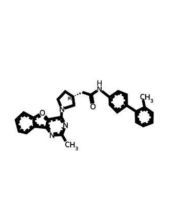 Cc1nc(N2CC[C@H](CC(=O)Nc3ccc(-c4ccccc4C)cc3)C2)c2oc3ccccc3c2n1